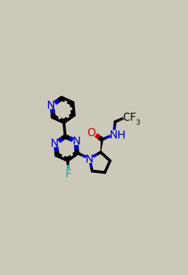 O=C(NCC(F)(F)F)[C@H]1CCCN1c1nc(-c2cccnc2)ncc1F